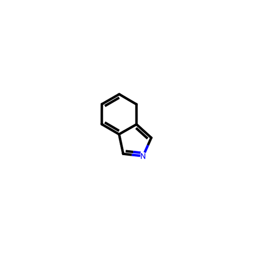 C1=CCC2=CN=CC2=C1